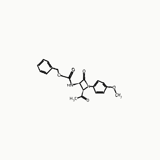 COc1ccc(N2C(=O)[C@H](NC(=O)OCc3ccccc3)[C@@H]2C(C)=O)cc1